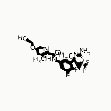 C#CCOc1cnc(C(=O)Nc2cc(F)c(F)c([C@@]3(C)N=C(N)S[C@@]4(C(F)F)CC43)c2)c(C)c1